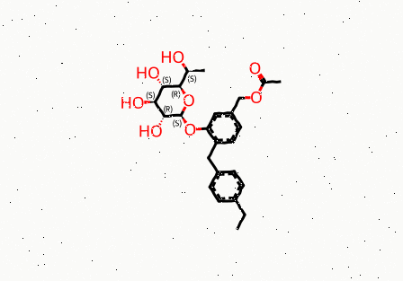 CCc1ccc(Cc2ccc(COC(C)=O)cc2O[C@@H]2O[C@H]([C@H](C)O)[C@@H](O)[C@H](O)[C@H]2O)cc1